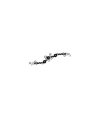 C=CC(=O)OCCCCCOc1ccc(/C=C/C(=O)Nc2cc(Cl)c(/N=C/c3ccc(OCCCCCOC(=O)C=C)cc3)c(Cl)c2)cc1